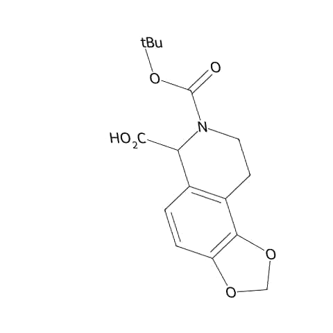 CC(C)(C)OC(=O)N1CCc2c(ccc3c2OCO3)C1C(=O)O